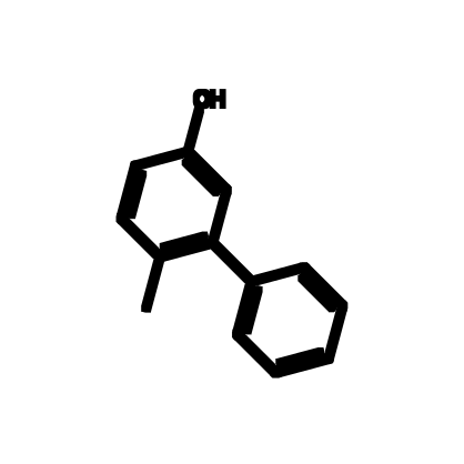 Cc1ccc(O)cc1-c1ccccc1